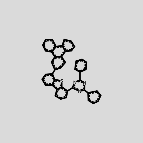 c1ccc(-c2nc(-c3ccccc3)nc(-c3cccc4c3sc3c(-c5ccc6c7ccccc7c7ccccc7c6c5)cccc34)n2)cc1